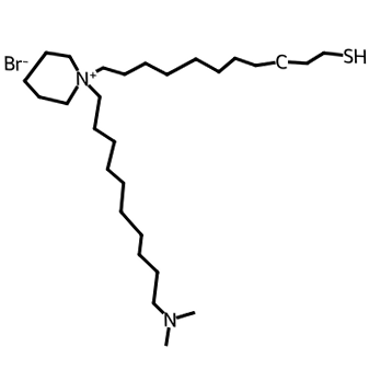 CN(C)CCCCCCCCCC[N+]1(CCCCCCCCCCCS)CCCCC1.[Br-]